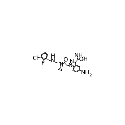 Nc1ccc2c(c1)c(C(N)O)nn2CC(=O)N(CCNCc1cccc(Cl)c1F)C1CC1